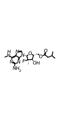 CNc1nc(N)nc2c1ncn2[C@@H]1O[C@H](COC(=O)CC(C)C)[C@@H](O)[C@@]1(C)F